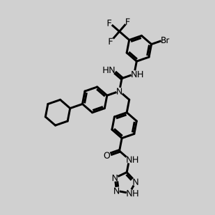 N=C(Nc1cc(Br)cc(C(F)(F)F)c1)N(Cc1ccc(C(=O)Nc2nn[nH]n2)cc1)c1ccc(C2CCCCC2)cc1